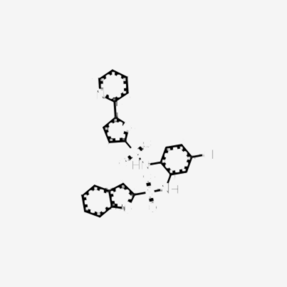 O=S(=O)(Nc1cc(Cl)ccc1NS(=O)(=O)c1ccc(-c2ccccn2)s1)c1cc2ccccc2o1